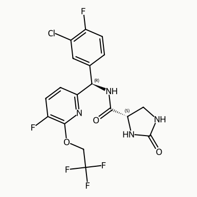 O=C1NC[C@@H](C(=O)N[C@H](c2ccc(F)c(Cl)c2)c2ccc(F)c(OCC(F)(F)F)n2)N1